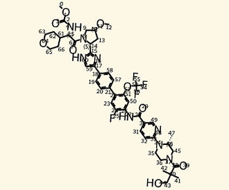 COC(=O)N[C@H](C(=O)N1C[C@@H](OC)C[C@H]1c1nc(-c2ccc(-c3cc(F)c(NC(=O)c4ccc(N5CCN(C(=O)C(C)(C)CO)C[C@H]5C)nc4)cc3OC(F)(F)F)cc2)c[nH]1)C1CCOCC1